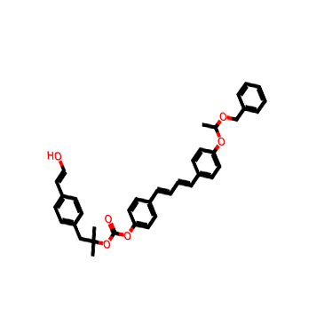 CC(OCc1ccccc1)Oc1ccc(C=CC=Cc2ccc(OC(=O)OC(C)(C)Cc3ccc(C=CO)cc3)cc2)cc1